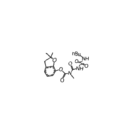 CCCCNS(=O)(=O)NC(=O)N(C)C(=O)Oc1cccc2c1OC(C)(C)C2